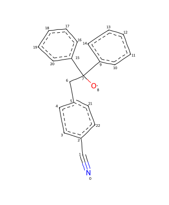 N#Cc1ccc(CC([O])(c2ccccc2)c2ccccc2)cc1